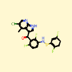 Cc1c(Cl)cnc2[nH]cc(C(=O)c3c(F)ccc(NSC4=C(F)CCC(F)=C4)c3F)c12